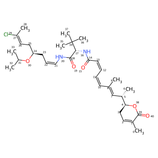 CC1=CC[C@@H]([C@@H](C)/C=C(C)/C=C\C=C/C(=O)N[C@H](C(=O)N/C=C\C[C@H](C/C=C(\C)Cl)OC(C)C)C(C)(C)C)OC1=O